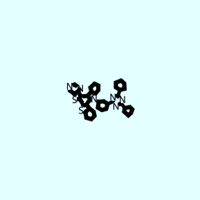 c1ccc(-c2nc(-c3ccccc3)nc(-c3cccc(-n4c5ccccc5c5c6c7ncncc7sc6c6sc7ccccc7c6c54)c3)n2)cc1